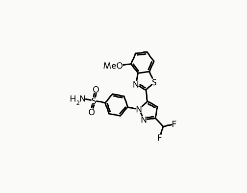 COc1cccc2sc(-c3cc(C(F)F)nn3-c3ccc(S(N)(=O)=O)cc3)nc12